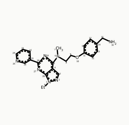 CCn1ncc2c(N(C)CCOc3ccc(CN)cc3)nc(-c3cccnc3)nc21